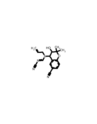 C=CCN(C=NC#N)C1c2cc(C#N)ccc2OC(C)(C)C1O